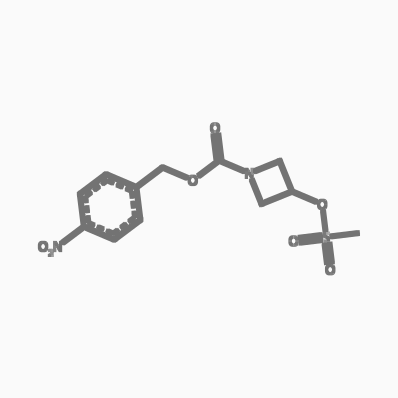 CS(=O)(=O)OC1CN(C(=O)OCc2ccc([N+](=O)[O-])cc2)C1